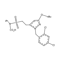 CCCCOc1cc(CCS(=O)(=O)N(C(=O)O)C(C)C)n(Cc2ccc(Cl)cc2Cl)n1